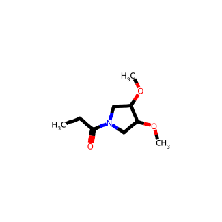 CCC(=O)N1CC(OC)C(OC)C1